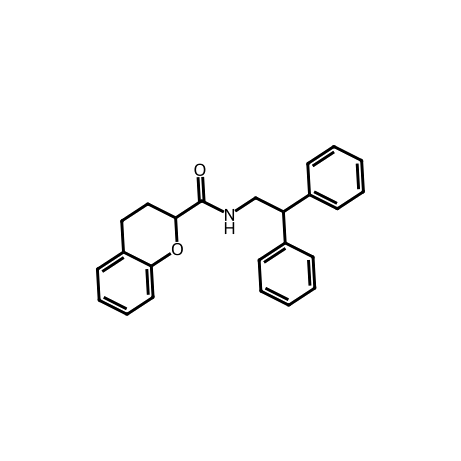 O=C(NCC(c1ccccc1)c1ccccc1)C1CCc2ccccc2O1